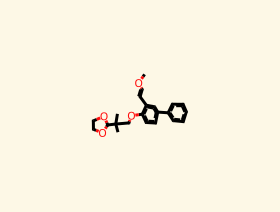 COC=Cc1cc(-c2ccccc2)ccc1OCC(C)(C)C1OCCO1